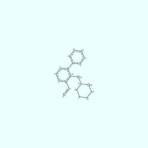 O=Cc1cccc(-c2ccccc2)c1OC1CCCCO1